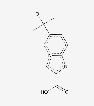 COC(C)(C)c1ccc2nc(C(=O)O)cn2c1